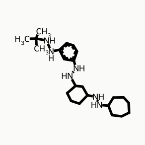 CC(C)(C)NNc1cccc(NNC2CCCC(NNC3CCCCCC3)C2)c1